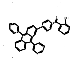 O=C(c1ccc(-c2ccc3c(-c4ccccc4)c4ccccc4c(-c4ccccc4)c3c2)cc1)c1ccccc1O